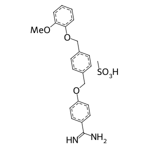 COc1ccccc1OCc1ccc(COc2ccc(C(=N)N)cc2)cc1.CS(=O)(=O)O